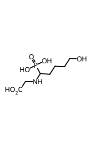 O=C(O)CNC(CCCCO)P(=O)(O)O